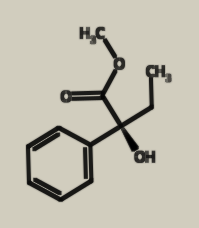 CC[C@@](O)(C(=O)OC)c1ccccc1